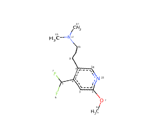 COc1cc(C(F)F)c(CCN(C)C)cn1